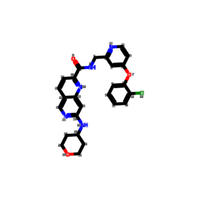 O=C(NCc1cc(Oc2ccccc2Cl)ccn1)c1ccc2cnc(NC3CCOCC3)cc2n1